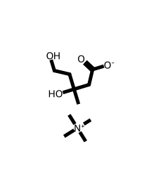 CC(O)(CCO)CC(=O)[O-].C[N+](C)(C)C